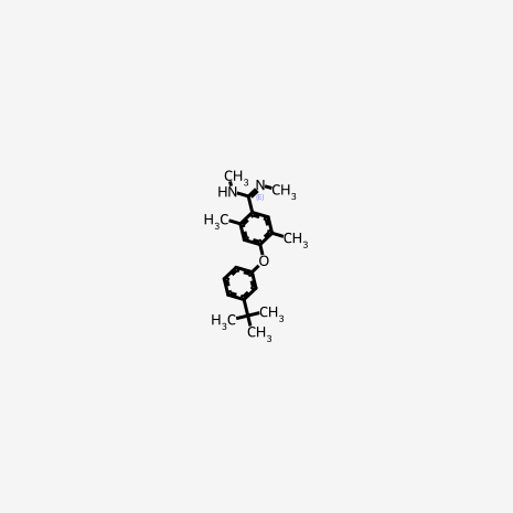 C/N=C(/NC)c1cc(C)c(Oc2cccc(C(C)(C)C)c2)cc1C